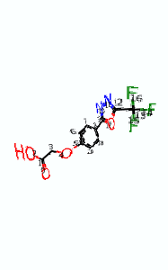 O=C(O)COc1ccc(-c2nnc(C(F)(F)F)o2)cc1